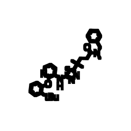 CN(Cc1ccccc1)C(=O)CCC(C)(C)c1nnc(Nc2cccnc2Oc2ccccc2C(C)(C)C)s1